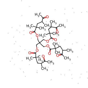 CC(=O)C(C)CC(C)(C)C(=O)OCC(COC(=O)C(C)(C)CC(C)C(C)=O)(COC(=O)C(C)(C)CC(C)C(C)=O)COC(=O)C(C)(C)CC(C)C(C)=O